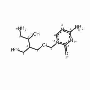 NCC(O)C(CO)COCn1cnc(N)nc1=O